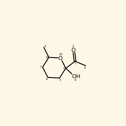 CC(=O)C1(O)CCCC(C)O1